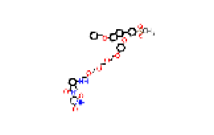 CS(=O)(=O)c1ccc(-c2ccc3cc(OCc4ccccc4)ccc3c2Oc2ccc(OCCOCCOCCOCCNc3cccc4c3CN(C3CCC(=O)NC3=O)C4=O)cc2)cc1